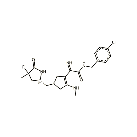 CNC1=C(C(=N)C(=O)NCc2ccc(Cl)cc2)CN(C[C@@H]2CC(C)(F)C(=O)N2)C1